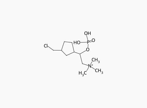 C[N+](C)(C)CC(OP(=O)(O)O)C1CCC(CCl)C1